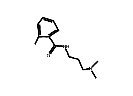 Cc1ccccc1C(=O)NCCCN(C)C